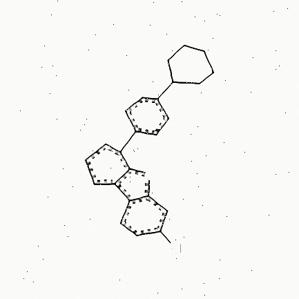 Clc1ccc2c(c1)sc1c(-c3ccc(C4CCCCC4)cc3)cccc12